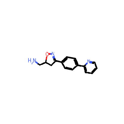 NCC1CC(c2ccc(-c3ccccn3)cc2)=NO1